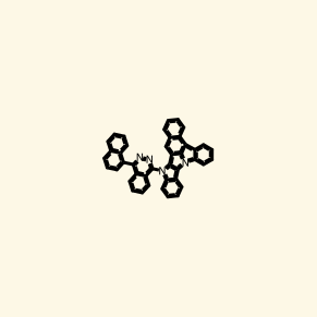 c1ccc2c(-c3nnc(-n4c5ccccc5c5c4c4cc6ccccc6c6c7ccccc7n5c46)c4ccccc34)cccc2c1